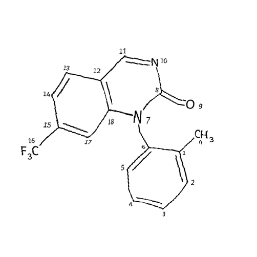 Cc1ccccc1-n1c(=O)ncc2ccc(C(F)(F)F)cc21